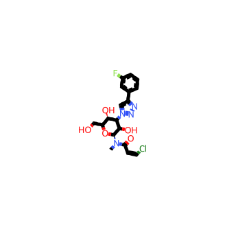 CN(C(=O)/C=C\Cl)[C@@H]1OC(CO)[C@H](O)C(n2cc(-c3cccc(F)c3)nn2)C1O